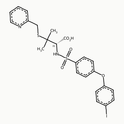 CC(C)(SCc1ccccn1)[C@@H](NS(=O)(=O)c1ccc(Oc2ccc(I)cc2)cc1)C(=O)O